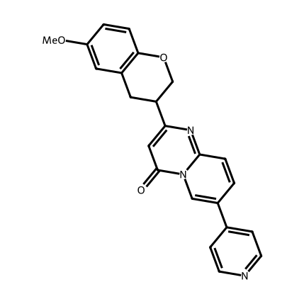 COc1ccc2c(c1)CC(c1cc(=O)n3cc(-c4ccncc4)ccc3n1)CO2